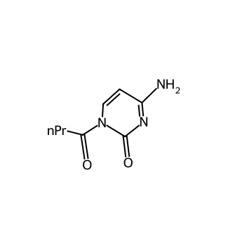 CCCC(=O)n1ccc(N)nc1=O